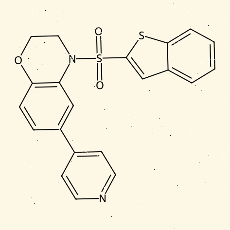 O=S(=O)(c1cc2ccccc2s1)N1CCOc2ccc(-c3ccncc3)cc21